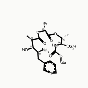 CC(C)[C@@H](OC(=O)[C@H](C)[C@H](O)[C@@H](N)Cc1cccnc1)C(=O)O[C@H](C)[C@H](NC(=O)OC(C)(C)C)C(=O)O